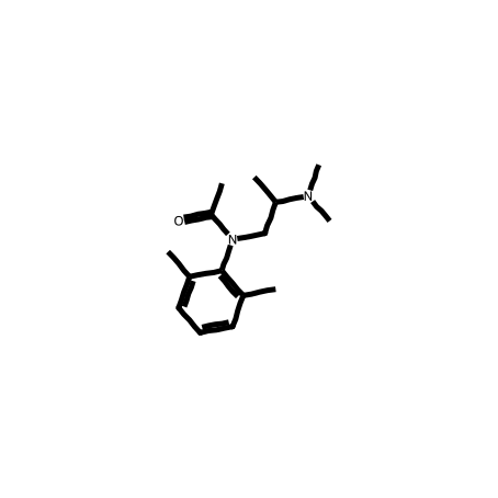 CC(=O)N(CC(C)N(C)C)c1c(C)cccc1C